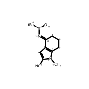 Cn1c(C#N)cc2c1CCC/C2=N\[S@+]([O-])C(C)(C)C